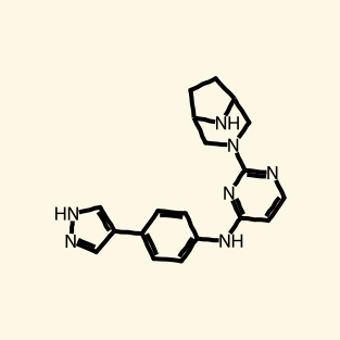 c1cc(Nc2ccc(-c3cn[nH]c3)cc2)nc(N2CC3CCC(C2)N3)n1